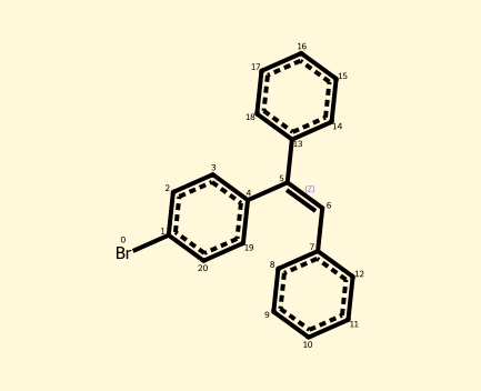 Brc1ccc(/C(=C\c2ccccc2)c2ccccc2)cc1